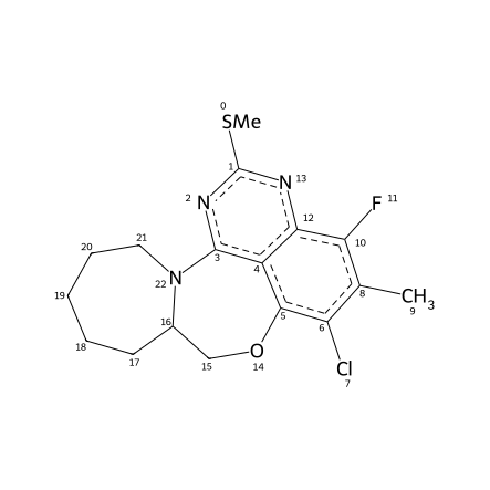 CSc1nc2c3c(c(Cl)c(C)c(F)c3n1)OCC1CCCCCN21